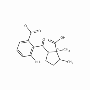 CC1CCN(C(=O)c2c(N)cccc2[N+](=O)[O-])[C@@]1(C)C(=O)O